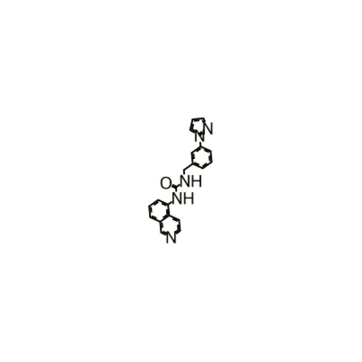 O=C(NCc1cccc(-n2cccn2)c1)Nc1cccc2cnccc12